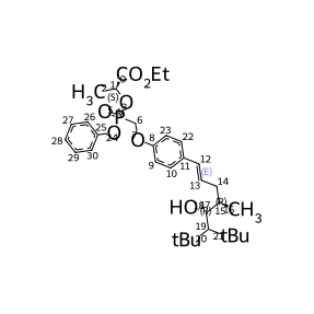 CCOC(=O)[C@H](C)OP(=O)(COc1ccc(/C=C/C[C@@H](C)[C@@H](O)C(C(C)(C)C)C(C)(C)C)cc1)Oc1ccccc1